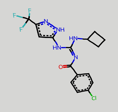 O=C(/N=C(\Nc1cc(C(F)(F)F)n[nH]1)NC1CCC1)c1ccc(Cl)cc1